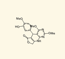 COc1nc2c(c(OC)n1)C(c1ccc(OC)c(O)c1)C1=C(COC1=O)N2